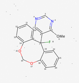 COc1ncncc1C1(F)c2ccccc2OCOc2ccccc21